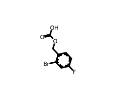 O=C(O)OCc1ccc(F)cc1Br